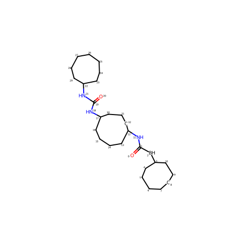 O=C(BC1CCCCCCC1)NC1CCCCC(NC(=O)NC2CCCCCCC2)CCC1